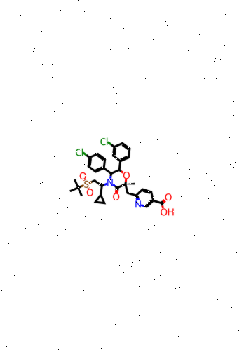 CC(C)(C)S(=O)(=O)CC(C1CC1)N1C(=O)[C@@](C)(Cc2ccc(C(=O)O)cn2)OC(c2cccc(Cl)c2)C1c1ccc(Cl)cc1